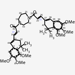 COc1cc2c(c(OC)c1OC)C(C)(C)CC(/C=C/C(=O)N1CCCN(C(=O)/C=C/C3=Cc4cc(OC)c(OC)c(OC)c4C(C)(C)C3)CC1)=C2